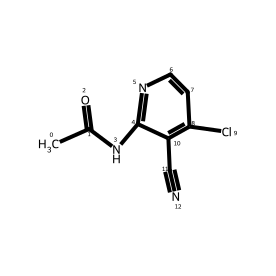 CC(=O)Nc1nccc(Cl)c1C#N